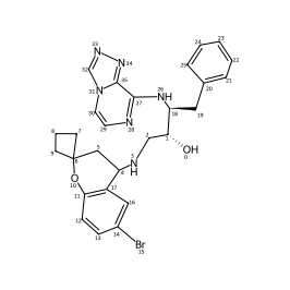 O[C@H](CNC1CC2(CCC2)Oc2ccc(Br)cc21)[C@H](Cc1ccccc1)Nc1nccn2cnnc12